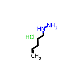 C=CCCCNN.Cl